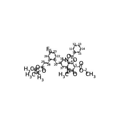 CCOC(=O)c1c(OC(=O)c2ccccc2)c2ncc(Cc3ccc(F)cc3C=CC(=O)OC(C)(C)C)cc2n(C)c1=O